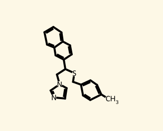 Cc1ccc(CSC(Cn2ccnc2)c2ccc3ccccc3c2)cc1